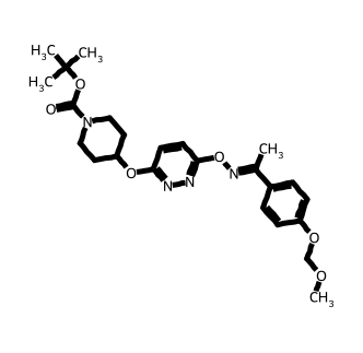 COCOc1ccc(C(C)=NOc2ccc(OC3CCN(C(=O)OC(C)(C)C)CC3)nn2)cc1